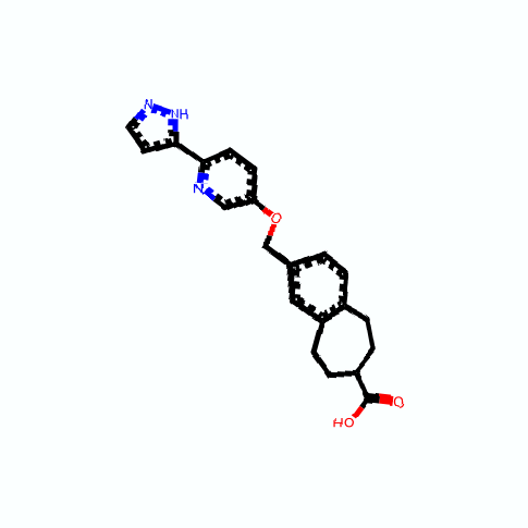 O=C(O)C1CCc2ccc(COc3ccc(-c4ccn[nH]4)nc3)cc2CC1